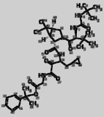 CC(C)(C)NC(=O)N[C@H](C(=O)N1C[C@H]2[C@@H]([C@H]1C(=O)NC(CC1CC1)C(=O)C(=O)NCC(=O)OC(C)(C)c1ccccc1)C2(Cl)Cl)C(C)(C)C